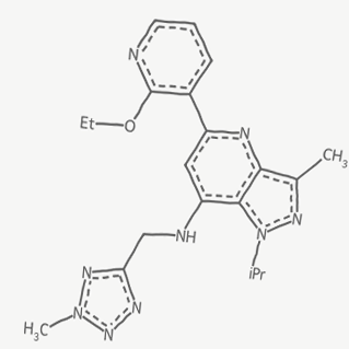 CCOc1ncccc1-c1cc(NCc2nnn(C)n2)c2c(n1)c(C)nn2C(C)C